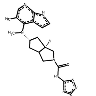 CSc1nsc(NC(=O)N2CC3C[C@H](N(C)c4c(C#N)cnc5[nH]ccc45)C[C@H]3C2)n1